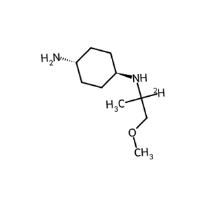 [2H]C(C)(COC)N[C@H]1CC[C@H](N)CC1